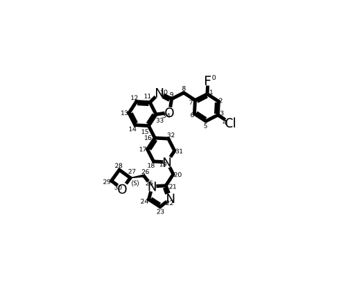 Fc1cc(Cl)ccc1Cc1nc2cccc(C3=CCN(Cc4nccn4C[C@@H]4CCO4)CC3)c2o1